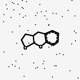 c1ccc2c(c1)CC1CCOC1O2